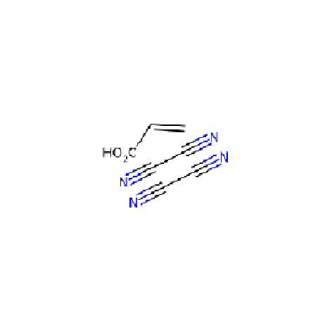 C=CC(=O)O.N#CC#N.N#CC#N